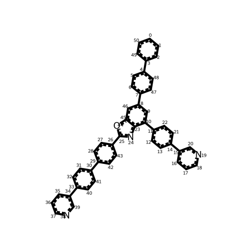 c1ccc(-c2ccc(-c3cc(-c4ccc(-c5cccnc5)cc4)c4nc(-c5ccc(-c6ccc(-c7cccnc7)cc6)cc5)oc4c3)cc2)cc1